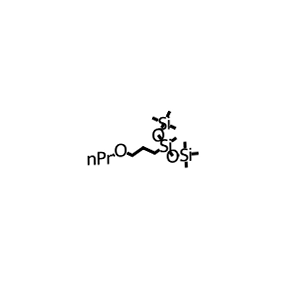 [CH2]CCOCCC[Si](C)(O[Si](C)(C)C)O[Si](C)(C)C